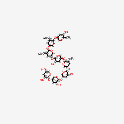 CCCC[C@@H]1C[C@H](O[C@H]2OC[C@@H](O[C@H]3OC[C@@H](O[C@H]4OC[C@@H](O)C[C@H]4O)C[C@H]3O)C[C@H]2O)CO[C@@H]1O[C@@H]1CO[C@H](O[C@@H]2CO[C@H](O[C@@H]3CO[C@H](O[C@@H]4CO[C@H](C)[C@H](O)C4)[C@H](OC)C3)[C@H](OC)C2)[C@H](O)C1